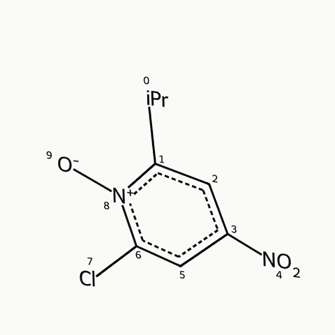 CC(C)c1cc([N+](=O)[O-])cc(Cl)[n+]1[O-]